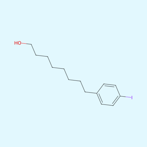 OCCCCCCCCc1ccc(I)cc1